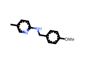 COc1ccc(CNc2ccc(C)cn2)cc1